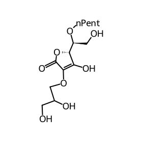 CCCCCO[C@@H](CO)[C@H]1OC(=O)C(OCC(O)CO)=C1O